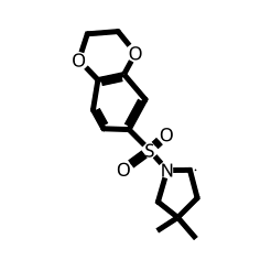 CC1(C)C[CH]N(S(=O)(=O)c2ccc3c(c2)OCCO3)C1